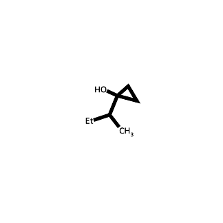 CCC(C)C1(O)CC1